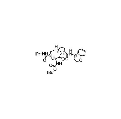 CC(C)NC(=O)N1CC[C@H]2CC[C@@H](C(=O)N[C@@H]3CCOc4ccccc43)N2C(=O)[C@@H](NC(=O)OC(C)(C)C)C1